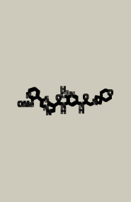 COc1ncccc1-c1cn2ncc(C(=O)Nc3cc(NC(=O)CN4CC5(CCOCC5)C4)cnc3C)c2s1